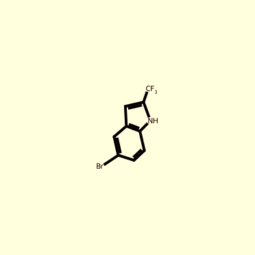 FC(F)(F)c1cc2cc(Br)ccc2[nH]1